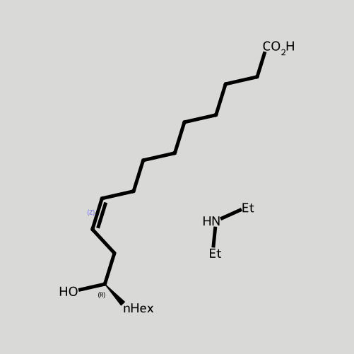 CCCCCC[C@@H](O)C/C=C\CCCCCCCC(=O)O.CCNCC